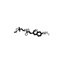 CCOC(C)(C)CCNC(=O)/C=C/c1cnc2cc(N)ccc2c1